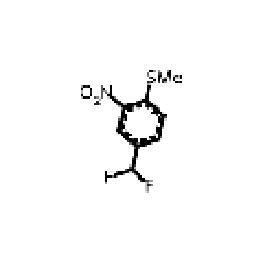 CSc1ccc(C(F)F)cc1[N+](=O)[O-]